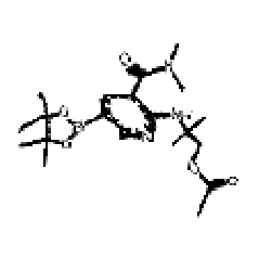 CC(=O)OCC(C)(C)Nc1ncc(B2OC(C)(C)C(C)(C)O2)cc1C(=O)N(C)C